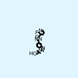 CC(C)(CO)n1nnc2cc(-c3noc(-c4cccnc4F)n3)ccc21